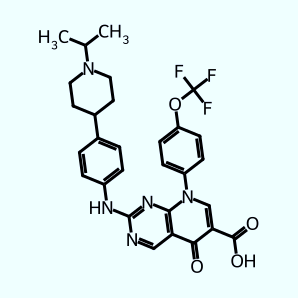 CC(C)N1CCC(c2ccc(Nc3ncc4c(=O)c(C(=O)O)cn(-c5ccc(OC(F)(F)F)cc5)c4n3)cc2)CC1